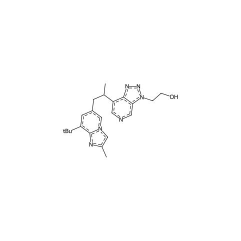 Cc1cn2cc(CC(C)c3cncc4c3nnn4CCO)cc(C(C)(C)C)c2n1